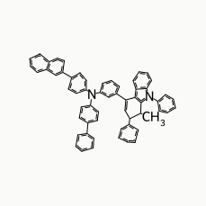 CC1c2c(c3ccccc3n2-c2ccccc2)C(c2cccc(N(c3ccc(-c4ccccc4)cc3)c3ccc(-c4ccc5ccccc5c4)cc3)c2)=CC1c1ccccc1